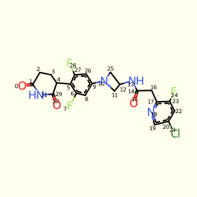 O=C1CCC(c2c(F)cc(N3CC(NC(=O)Cc4ncc(Cl)cc4F)C3)cc2F)C(=O)N1